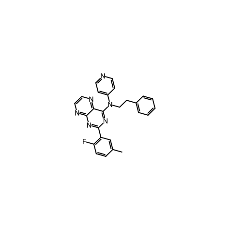 Cc1ccc(F)c(-c2nc(N(CCc3ccccc3)c3ccncc3)c3nccnc3n2)c1